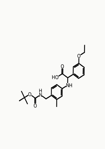 CCOc1cccc(C(Nc2ccc(CNC(=O)OC(C)(C)C)c(C)c2)C(=O)O)c1